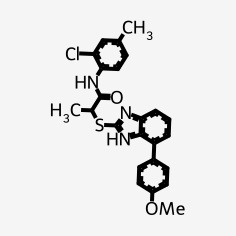 COc1ccc(-c2cccc3nc(SC(C)C(=O)Nc4ccc(C)cc4Cl)[nH]c23)cc1